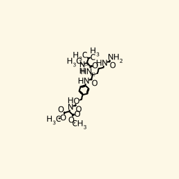 CN[C@H](C(=O)N[C@@H](CCCNC(N)=O)C(=O)Nc1ccc(COC(=O)NC(C(=O)OC)C(=O)OC)cc1)C(C)C